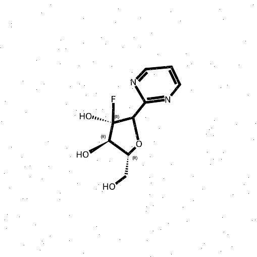 OC[C@H]1OC(c2ncccn2)[C@](O)(F)[C@@H]1O